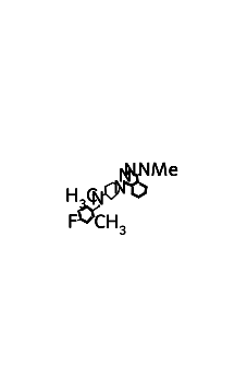 CNc1nnc(N2CCC(N(C)Cc3ccc(F)cc3C)CC2)c2ccccc12